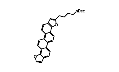 CCCCCCCCCCCCCCc1cc2ccc3c4ccc5c(ccc6ccoc65)c4ccc3c2o1